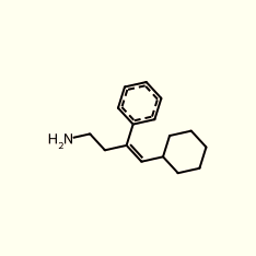 NCCC(=CC1CCCCC1)c1ccccc1